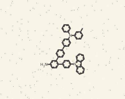 Cc1cccc(N(c2ccccc2)c2ccc(-c3ccc(-c4cc(N)ccc4-c4ccc(-n5c6ccccc6c6ccccc65)cc4)cc3)cc2)c1